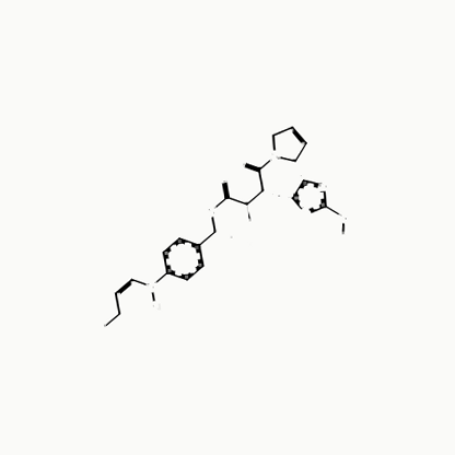 C=C(N[C@H](C)c1ccc(N(N)/C=C\CI)cc1)[C@H](O)[C@@H](C)C(=O)N1CC=C[C@@H]1c1csc(NC)n1